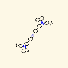 CC(C)(C)c1ccc(N(c2ccc(-c3ccc(/C=C/c4ccc(-c5ccc(N(c6ccc(C(C)(C)C)cc6)c6cccc7ccccc67)cc5)cc4)cc3)cc2)c2cccc3ccccc23)cc1